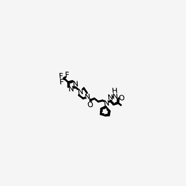 Cc1cc(N(CCCC(=O)N2CCN(c3ncc(C(F)(F)F)cn3)CC2)c2ccccc2)n[nH]c1=O